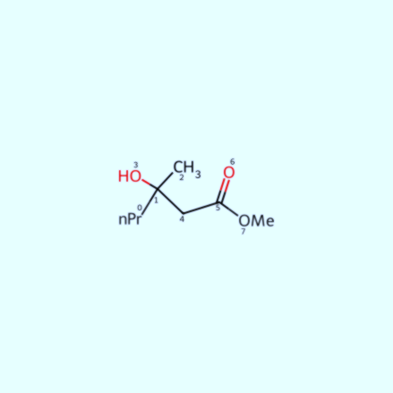 CCCC(C)(O)CC(=O)OC